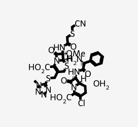 CO[C@@]1(NC(=O)CSCC#N)C(=O)N2C(C(=O)O)=C(CSc3nnnn3C)CS[C@@H]21.N[C@@H](C(=O)N[C@@H]1C(=O)N2C(C(=O)O)=C(Cl)CC[C@H]12)c1ccccc1.O